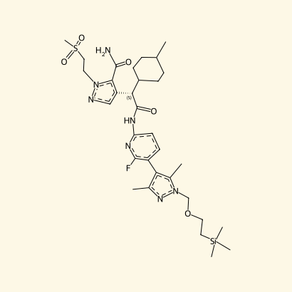 Cc1nn(COCC[Si](C)(C)C)c(C)c1-c1ccc(NC(=O)[C@H](c2cnn(CCS(C)(=O)=O)c2C(N)=O)C2CCC(C)CC2)nc1F